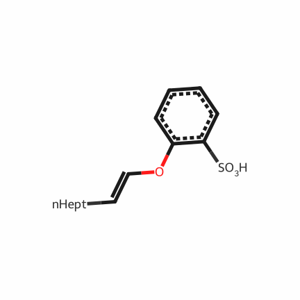 CCCCCCCC=COc1ccccc1S(=O)(=O)O